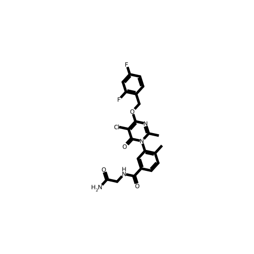 Cc1ccc(C(=O)NCC(N)=O)cc1-n1c(C)nc(OCc2ccc(F)cc2F)c(Cl)c1=O